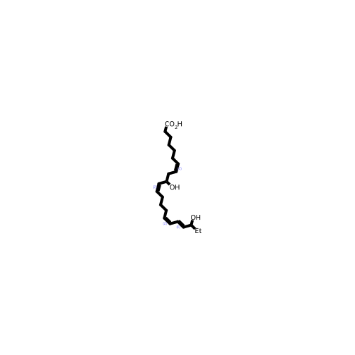 CCC(O)/C=C/C=C\CCC/C=C\C(O)C/C=C\CCCCCC(=O)O